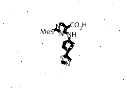 CSc1ncc(C(=O)O)c(Nc2ccc(-c3cncs3)cc2)n1